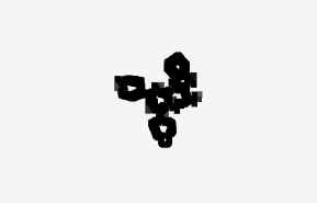 FC(F)c1nc2ccccc2n1-c1nc(-c2ccncc2)nc(N2CCOCC2)n1